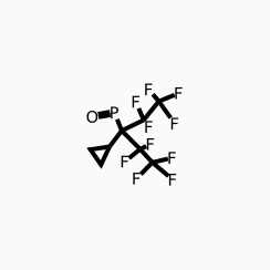 O=PC(C1CC1)(C(F)(F)C(F)(F)F)C(F)(F)C(F)(F)F